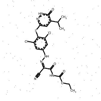 CCOC(=O)NC(=O)/C(C#N)=N\Nc1cc(Cl)c(Sc2cc(C(C)C)c(=O)[nH]n2)c(Cl)c1